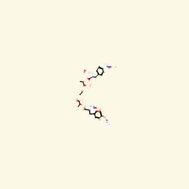 CC(OC(=O)C(Cc1ccc(N=C=O)cc1)N=C=O)C(=O)OCCOC(=O)C(C)OC(=O)C(Cc1ccc(OC#N)cc1)N=C=O